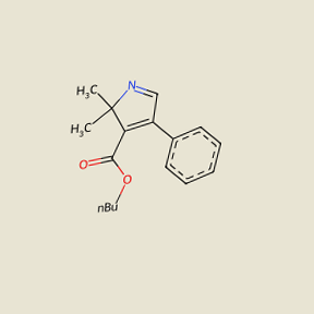 CCCCOC(=O)C1=C(c2ccccc2)C=NC1(C)C